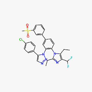 CCc1nc(C(F)F)c(CC)n1-c1ccc(-c2cccc(S(C)(=O)=O)c2)cc1-n1nncc1-c1ccc(Cl)cc1